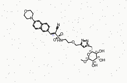 CO[C@H]1O[C@H](Cn2cc(COCCNS(=O)(=O)/C(C#N)=C/c3ccc4cc(N5CCOCC5)ccc4c3)nn2)[C@@H](O)[C@H](O)[C@H]1O